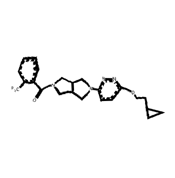 O=C(c1ccccc1C(F)(F)F)N1CC2CN(c3ccc(OCCC4CC4)nn3)CC2C1